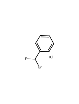 Cl.FC(Br)c1ccccc1